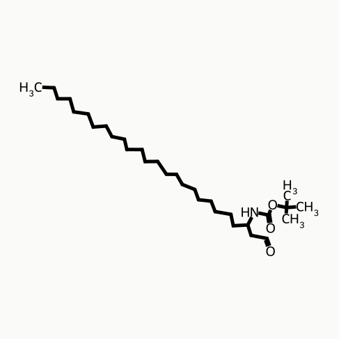 CCCCCCCCCCCCCCCCCCCCCCCC(CC=O)NC(=O)OC(C)(C)C